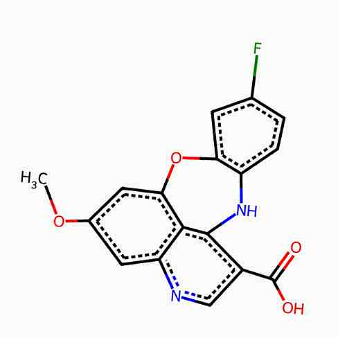 COc1cc2c3c(c(C(=O)O)cnc3c1)Nc1ccc(F)cc1O2